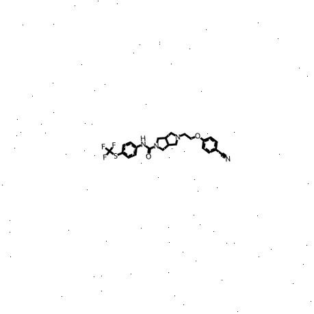 N#Cc1ccc(OCCN2CC3CN(C(=O)Nc4ccc(SC(F)(F)F)cc4)CC3C2)cc1